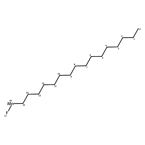 CCCCCCCCCCCCCCC[CH2][Mn][F]